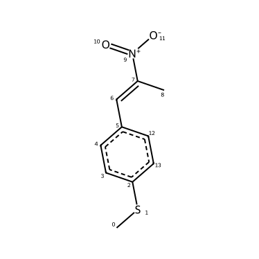 CSc1ccc(/C=C(\C)[N+](=O)[O-])cc1